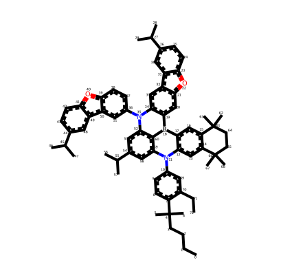 CCCCC(C)(C)c1ccc(N2c3cc4c(cc3B3c5cc6oc7ccc(C(C)C)cc7c6cc5N(c5ccc6oc7ccc(C(C)C)cc7c6c5)c5cc(C(C)C)cc2c53)C(C)(C)CCC4(C)C)cc1CC